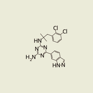 CC(C)(Cc1cccc(Cl)c1Cl)Nc1nc(N)nc(-c2ccc3cn[nH]c3c2)n1